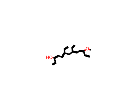 C=C/C(=C\C=C(\O)C=C)C/C(C=C)=C/C=C(\C=C)OC